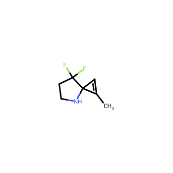 CC1=CC12NCCC2(F)F